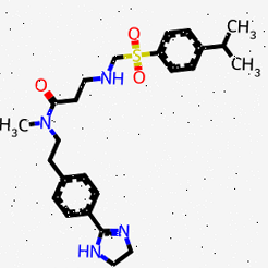 CC(C)c1ccc(S(=O)(=O)CNCCC(=O)N(C)CCc2ccc(C3=NCCN3)cc2)cc1